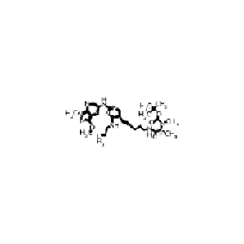 CCCNc1nc(Nc2cnc3c(c2)c(OC)nn3C)ncc1C#CCCCNC(=O)[C@H](C)N(C)C(=O)OC(C)(C)C